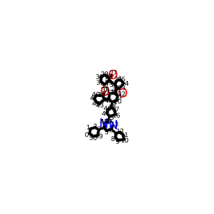 c1ccc(-c2cc(-c3ccccc3)nc(-c3ccc(-c4cc5oc6ccc7oc8ccccc8c7c6c5c5oc6ccccc6c45)cc3)n2)cc1